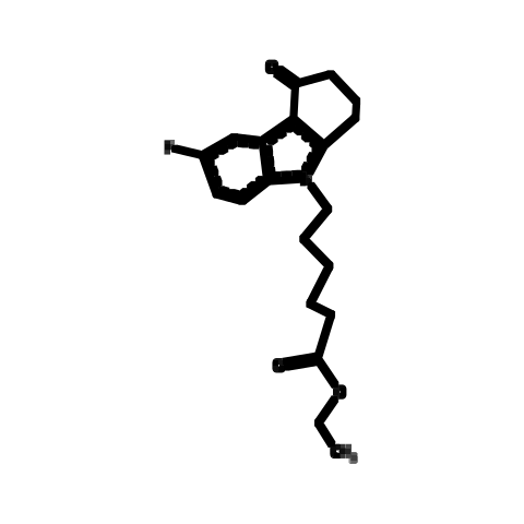 CCOC(=O)CCCCCn1c2c(c3cc(F)ccc31)C(=O)CCC2